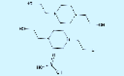 O=C(O)O.OCCN1CCN(CCO)CC1.OCCN1CCN(CCO)CC1